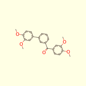 COc1ccc(C(=O)c2cccc(-c3ccc(OC)c(OC)c3)c2)cc1OC